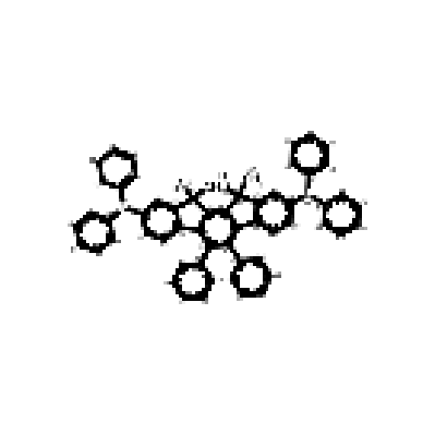 CC1(C)c2cc(N(C3=CC=CCC3)c3ccccc3)ccc2-c2c(-c3ccccc3)c(-c3ccccc3)c3c(c21)C(C)(C)c1cc(N(c2ccccc2)c2ccccc2)ccc1-3